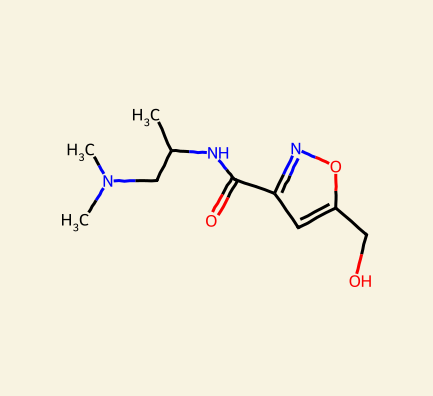 CC(CN(C)C)NC(=O)c1cc(CO)on1